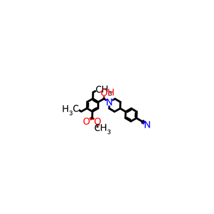 CCc1cc(CC)c(C(O)N2CCC(c3ccc(C#N)cc3)CC2)cc1C(=O)OC